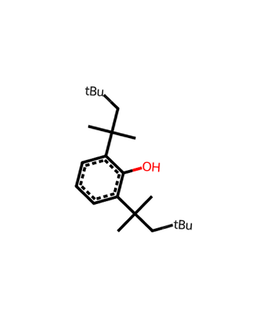 CC(C)(C)CC(C)(C)c1cccc(C(C)(C)CC(C)(C)C)c1O